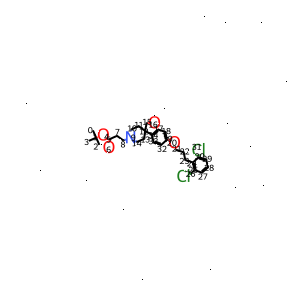 CC(C)(C)OC(=O)CCN1CCC2(CC1)COc1cc(OCCCc3c(Cl)cccc3Cl)ccc12